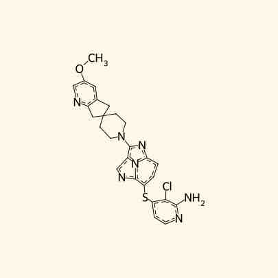 COc1cnc2c(c1)CC1(CCN(c3nc4ccc(Sc5ccnc(N)c5Cl)c5ncc3n45)CC1)C2